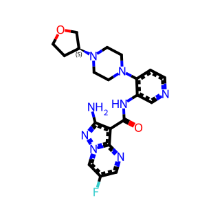 Nc1nn2cc(F)cnc2c1C(=O)Nc1cnccc1N1CCN([C@H]2CCOC2)CC1